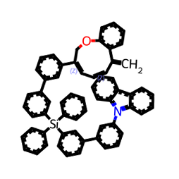 C=C1/C=C\C=C(\c2cccc(-c3cccc([Si](c4ccccc4)(c4ccccc4)c4cccc(-c5cccc(-n6c7ccccc7c7ccccc76)c5)c4)c3)c2)COc2ccccc21